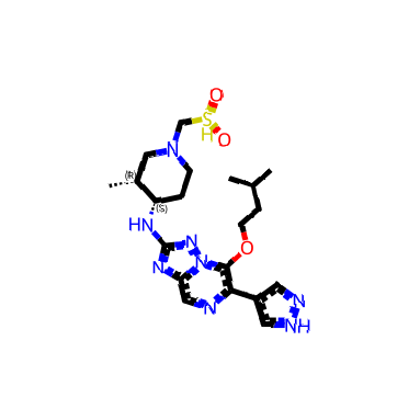 CC(C)CCOc1c(-c2cn[nH]c2)ncc2nc(N[C@H]3CCN(C[SH](=O)=O)C[C@H]3C)nn12